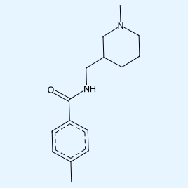 Cc1ccc(C(=O)NCC2CCCN(C)C2)cc1